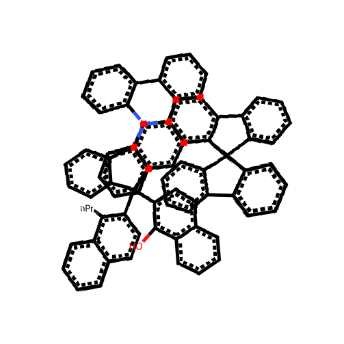 CCCc1c(C2(c3ccc4ccccc4c3O)c3ccccc3-c3cc(-c4ccccc4-c4ccccc4N(c4ccccc4)c4ccc5c(c4)C4(c6ccccc6-c6ccccc64)c4ccccc4-5)ccc32)ccc2ccccc12